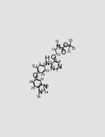 Cc1cc(Nc2ncncc2OCCN(C)C(=O)OC(C)(C)C)ccc1Oc1ccc2c(c1)ncn2C